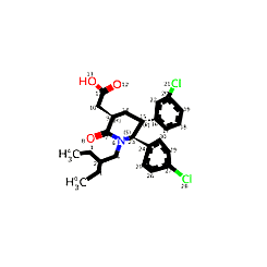 CCC(CC)CN1C(=O)[C@@H](CC(=O)O)C[C@H](c2cccc(Cl)c2)[C@H]1c1ccc(Cl)cc1